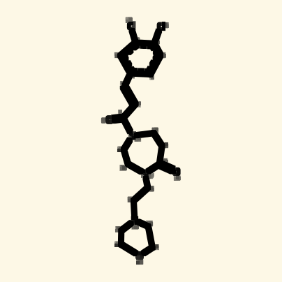 O=C(/C=C/c1ccc(Cl)c(Cl)c1)N1CCC(=O)N(CCN2CCOCC2)CC1